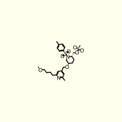 COCCCCc1cc(CO[C@@H]2CC[C@@H](COS(C)(=O)=O)N(S(=O)(=O)c3ccc(C)cc3)C2)cc(C)n1